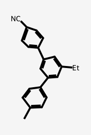 CCc1cc(-c2ccc(C)cc2)cc(-c2ccc(C#N)cc2)c1